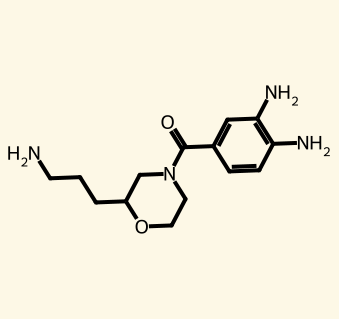 NCCCC1CN(C(=O)c2ccc(N)c(N)c2)CCO1